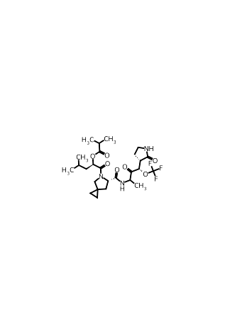 CC(C)C[C@@H](OC(=O)C(C)C)C(=O)N1CC2(CC2)C[C@H]1C(=O)NC(C)C(=O)[C@@H](OC(F)(F)F)[C@@H]1CCNC1=O